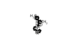 Cc1ccc(-c2cc(C(=O)Nc3cccc(-c4nnc5n4CCC5)n3)c(=O)n(C)c2)cn1